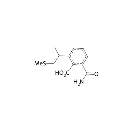 CSCC(C)c1cccc(C(N)=O)c1C(=O)O